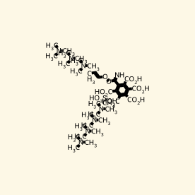 C.CC=COOC(=N)c1c(C(=O)O)c(C(=O)O)c(C(=O)O)c(C(=O)O)c1C(=O)O.CN(C)C.CN(C)C.CN(C)C.CN(C)C.CN(C)C.CN(C)C.CN(C)C.O=S(=O)(O)O